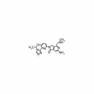 CNCc1nc(N)cc2c1CN(c1cccc(-c3nncn3C(C)C)n1)C2=O